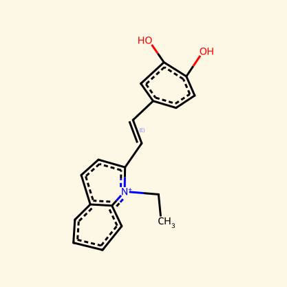 CC[n+]1c(/C=C/c2ccc(O)c(O)c2)ccc2ccccc21